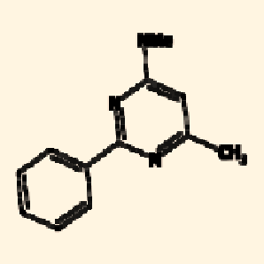 CNc1cc(C)nc(-c2ccccc2)n1